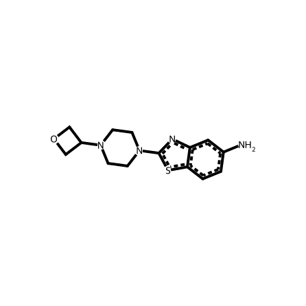 Nc1ccc2sc(N3CCN(C4COC4)CC3)nc2c1